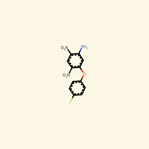 Nc1cc(Oc2ccc(F)cc2)c([N+](=O)[O-])cc1[N+](=O)[O-]